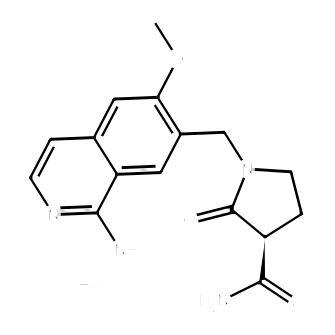 COc1cc2ccnc(N)c2cc1CN1CC[C@@H](C(N)=O)C1=O.Cl